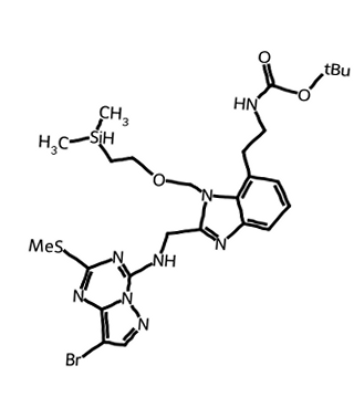 CSc1nc(NCc2nc3cccc(CCNC(=O)OC(C)(C)C)c3n2COCC[SiH](C)C)n2ncc(Br)c2n1